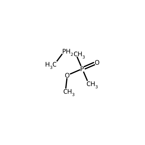 COP(C)(C)=O.CP